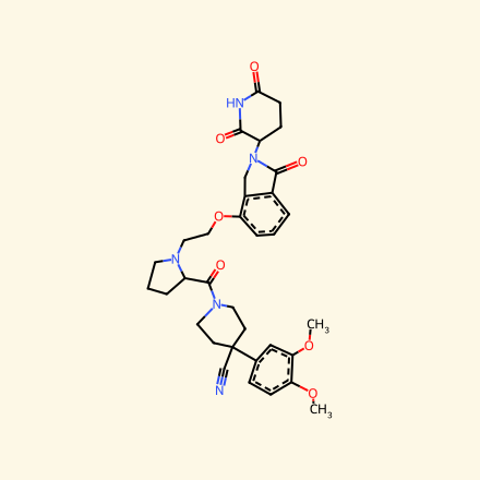 COc1ccc(C2(C#N)CCN(C(=O)C3CCCN3CCOc3cccc4c3CN(C3CCC(=O)NC3=O)C4=O)CC2)cc1OC